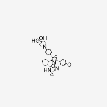 COc1ccc(-c2nc([C@@H]3CCCC[C@H]3C(=O)NC3(C#N)CC3)c(-c3ccc(N4CCS(O)(O)CC4)cc3)s2)cc1